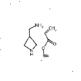 C=CC(=O)OC(C)(C)C.NCC1CNC1